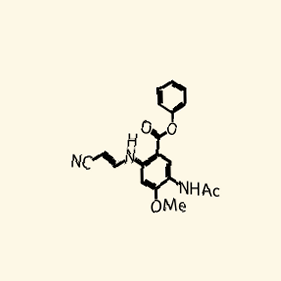 COc1cc(N/C=C/C#N)c(C(=O)Oc2ccccc2)cc1NC(C)=O